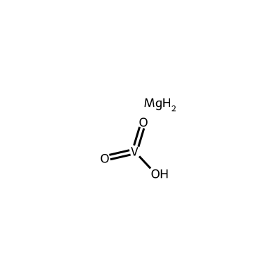 [MgH2].[O]=[V](=[O])[OH]